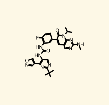 CNc1ncc2cc(-c3ccc(F)c(NC(=O)Nc4cnc(C(C)(C)C)nc4-c4cnoc4)c3)c(=O)n(C(C)C)c2n1